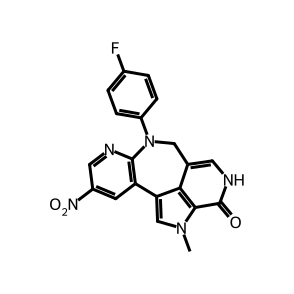 Cn1cc2c3c(c[nH]c(=O)c31)CN(c1ccc(F)cc1)c1ncc([N+](=O)[O-])cc1-2